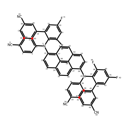 N#Cc1ccc(N(c2c(F)cc(F)cc2-c2cccc(C#N)c2)c2ccc3ccc4c(N(c5ccc(C#N)cc5)c5c(F)cc(F)cc5-c5cccc(C#N)c5)ccc5ccc2c3c54)cc1